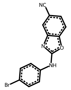 N#Cc1ccc2oc(Nc3ccc(Br)cc3)nc2c1